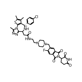 Cc1sc2c(c1C)[C@H](c1ccc(Cl)cc1)NC(CC(=O)NCCN1CCN(Cc3cc4c(cc3F)C(=O)N(C3CCC(=O)NC3=O)C4=O)CC1)c1nnc(C)n1-2